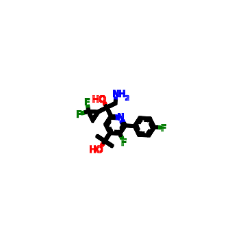 CC(C)(O)c1cc(C(O)(CN)C2CC2(F)F)nc(-c2ccc(F)cc2)c1F